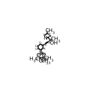 Cc1cnc([C@@](C)(O)C#Cc2cccc(B3OC(C)(C)C(C)(C)O3)c2)s1